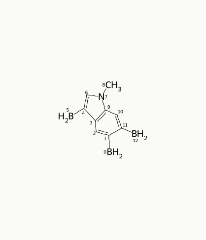 Bc1cc2c(B)cn(C)c2cc1B